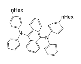 CCCCCCc1ccc(N(c2ccccc2)c2c3ccccc3c(N(c3ccccc3)c3ccc(CCCCCC)cc3)c3ccccc23)cc1